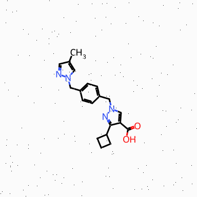 Cc1cnn(Cc2ccc(Cn3cc(C(=O)O)c(C4CCC4)n3)cc2)c1